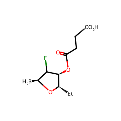 B[C@@H]1O[C@H](CC)[C@H](OC(=O)CCC(=O)O)C1F